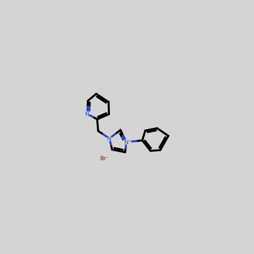 [Br-].c1ccc(-[n+]2ccn(Cc3ccccn3)c2)cc1